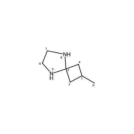 CC1CC2(C1)NCCN2